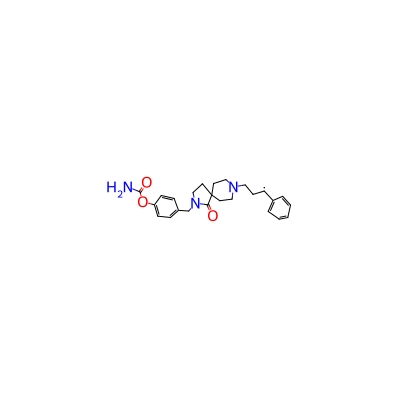 NC(=O)Oc1ccc(CN2CCC3(CCN(CC[CH]c4ccccc4)CC3)C2=O)cc1